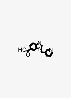 O=C(O)c1ccc2ncn(Cc3cccnc3)c2c1